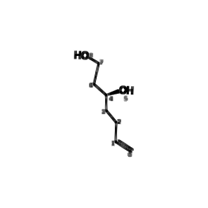 C=CCC[C@H](O)CCO